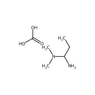 CCC(N)N(C)C.O=C(O)O